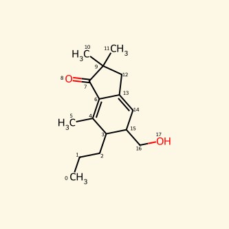 CCCC1C(C)=C2C(=O)C(C)(C)CC2=CC1CO